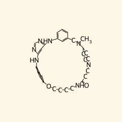 CN1Cc2cccc(c2)Nc2cc(ncn2)Nc2ccc(cc2)OCCCCNC(=O)CCN2CCC1CC2